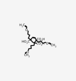 C=COCCCCC1(C(=O)O)C=CC(CCCCOC=C)(C(=O)O)C(CCCCOC=C)(C(=O)O)C1